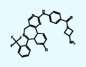 NC1CN(C(=O)c2ccc(Nc3ncc4c(n3)C3C=CC(Cl)=CC3C(c3ccccc3C(F)(F)F)=NC4)cc2)C1